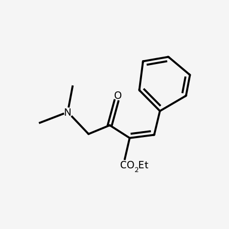 CCOC(=O)C(=Cc1ccccc1)C(=O)CN(C)C